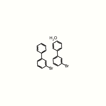 Brc1cccc(-c2ccccc2)c1.Brc1cccc(-c2ccccc2)c1.O